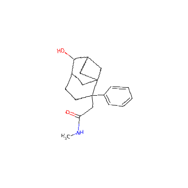 CNC(=O)CC1(c2ccccc2)CCC2CC13CC(C3)C2O